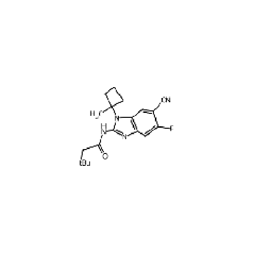 CC(C)(C)CC(=O)Nc1nc2cc(F)c(C#N)cc2n1C1(C)CCC1